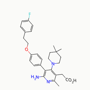 Cc1nc(N)c(-c2ccc(OCCc3ccc(F)cc3)cc2)c(N2CCC(C)(C)CC2)c1CC(=O)O